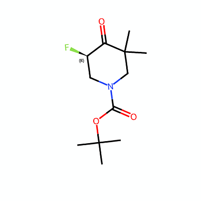 CC(C)(C)OC(=O)N1C[C@@H](F)C(=O)C(C)(C)C1